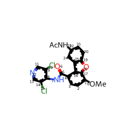 COc1ccc(C(=O)Nc2c(Cl)cncc2Cl)c2c1oc1ccc(NC(C)=O)cc12